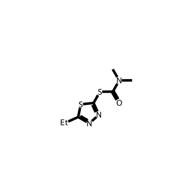 CCc1nnc(SC(=O)N(C)C)s1